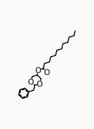 CCCCCCCCCCCC(=O)OC1COC(Cc2ccccc2)OC1